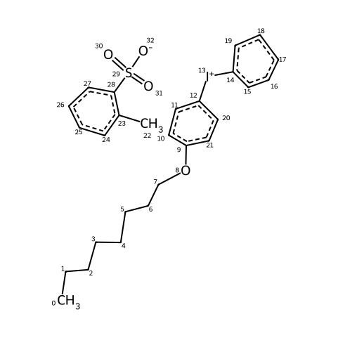 CCCCCCCCOc1ccc([I+]c2ccccc2)cc1.Cc1ccccc1S(=O)(=O)[O-]